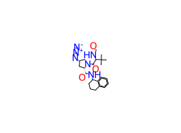 CC(C)(C)[C@H](NC=O)C(=O)N1C[C@@H](N=[N+]=[N-])C[C@H]1C(=O)N[C@@H]1CCCc2ccccc21